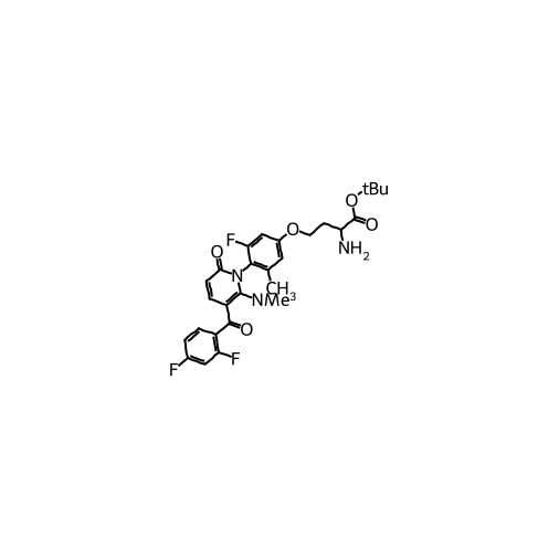 CNc1c(C(=O)c2ccc(F)cc2F)ccc(=O)n1-c1c(C)cc(OCCC(N)C(=O)OC(C)(C)C)cc1F